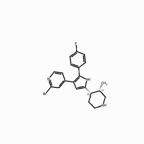 C[C@@H]1CNCC[C@@H]1c1cc(-c2ccnc(Br)c2)c(-c2ccc(F)cc2)[nH]1